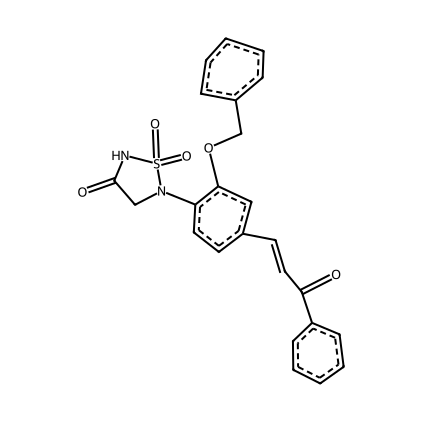 O=C1CN(c2ccc(C=CC(=O)c3ccccc3)cc2OCc2ccccc2)S(=O)(=O)N1